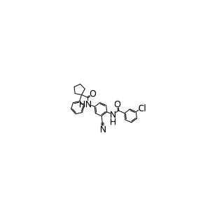 N#Cc1cc(NC(=O)C2(c3ccccc3)CCCC2)ccc1NC(=O)c1cccc(Cl)c1